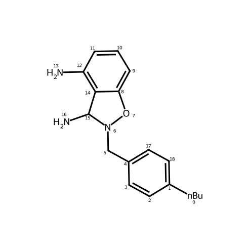 CCCCc1ccc(CN2Oc3cccc(N)c3C2N)cc1